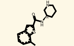 Cc1cccc2cc(C(=O)N[C@@H]3CCCNC3)sc12